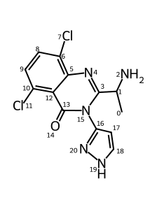 CC(N)c1nc2c(Cl)ccc(Cl)c2c(=O)n1-c1cc[nH]n1